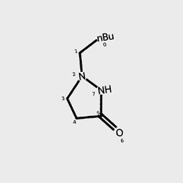 CCCCCN1CCC(=O)N1